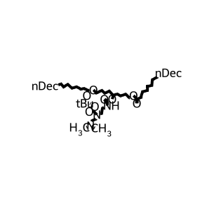 CCCCCCCCCCCCCCCCCC(=O)OCCCCC(CCCCOC(=O)CCCCCCCCCCCCCCCCC)OC(=O)NCCN(CCN(C)C)C(=O)OC(C)(C)C